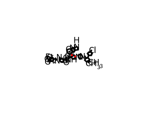 CCOP1(=O)CCC(CNc2ccc(S(=O)(=O)NC(=O)c3ccc(N4CCN(CC5=C(c6ccc(Cl)cc6)CC(C)(C)CC5)CC4)cc3N3CCCOc4nc5[nH]ccc5cc43)cc2[N+](=O)[O-])CC1